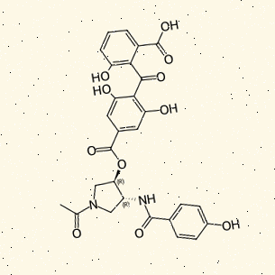 CC(=O)N1C[C@@H](NC(=O)c2ccc(O)cc2)[C@H](OC(=O)c2cc(O)c(C(=O)c3c(O)cccc3C(=O)O)c(O)c2)C1